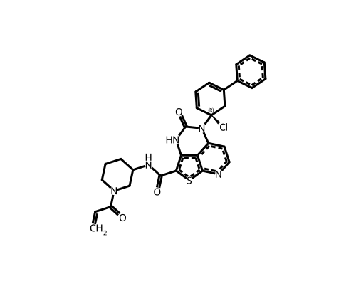 C=CC(=O)N1CCCC(NC(=O)c2sc3nccc4c3c2NC(=O)N4[C@]2(Cl)C=CC=C(c3ccccc3)C2)C1